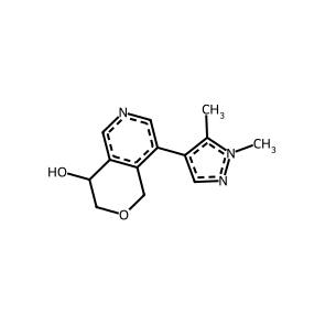 Cc1c(-c2cncc3c2COCC3O)cnn1C